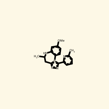 COc1ccc2c(c1)NC(C)Cc1nnc(-c3cccc(C)n3)n1-2